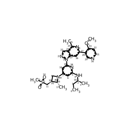 CC[C@H](C)Nc1cc(N2C[C@H](CS(C)(=O)=O)[C@H]2C)cc(-n2ncc3c(C)nc(-c4cnccc4OC)cc32)n1